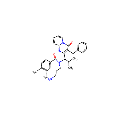 Cc1ccc(C(=O)N(CCCN)C(c2nc3ccccn3c(=O)c2Cc2ccccc2)C(C)C)cc1C